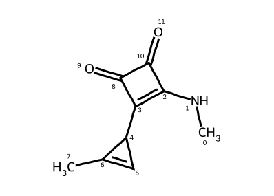 CNc1c(C2C=C2C)c(=O)c1=O